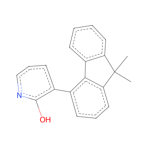 CC1(C)c2ccccc2-c2c(-c3cccnc3O)cccc21